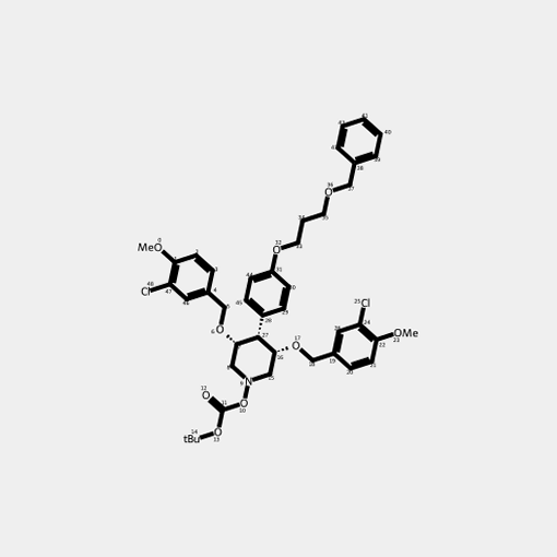 COc1ccc(CO[C@H]2CN(OC(=O)OC(C)(C)C)C[C@@H](OCc3ccc(OC)c(Cl)c3)[C@H]2c2ccc(OCCCOCc3ccccc3)cc2)cc1Cl